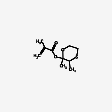 C=C(C)C(=O)OC1(C)OCCSC1C